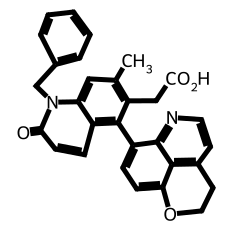 Cc1cc2c(ccc(=O)n2Cc2ccccc2)c(-c2ccc3c4c(ccnc24)CCO3)c1CC(=O)O